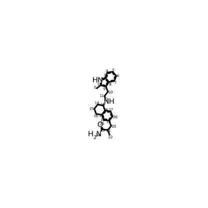 Cc1[nH]c2ccccc2c1CCNC1CCCc2cc(CC(C)C(N)=O)ccc21